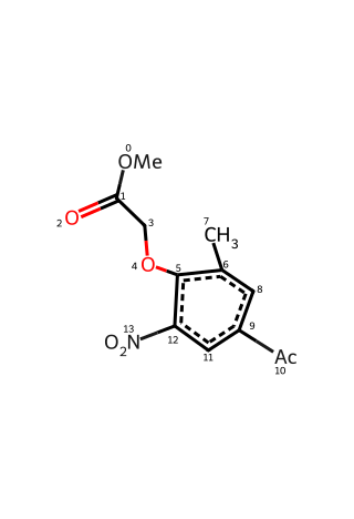 COC(=O)COc1c(C)cc(C(C)=O)cc1[N+](=O)[O-]